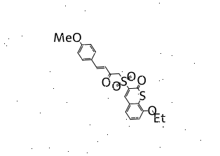 CCOc1cccc2cc(S(=O)(=O)CC(=O)C=Cc3ccc(OC)cc3)c(=O)sc12